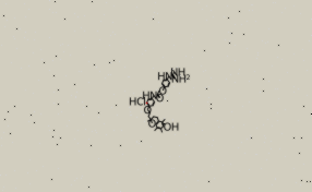 Cc1c(C)c2c(c(C)c1O)CCC(C)(CCOc1ccc(NC(=O)COc3ccc(NC(=N)N)cc3)cc1)O2.Cl